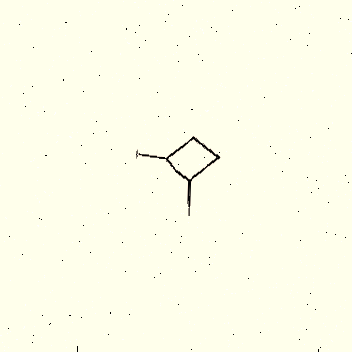 I[C]1CCC1I